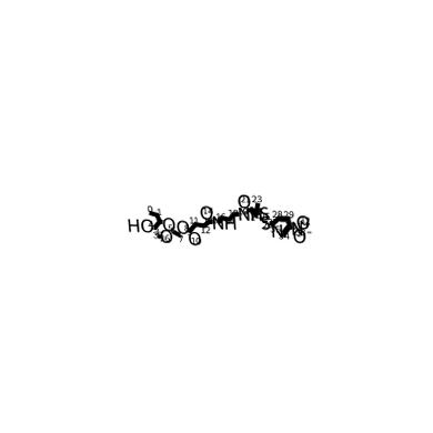 CCC(CO)OC(COC(=O)CCC(=O)NCCCNC(=O)C(C)(C)SSc1ccc([N+](=O)[O-])cn1)OC